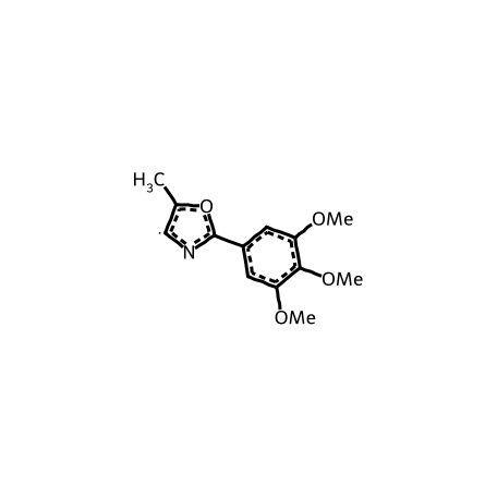 COc1cc(-c2n[c]c(C)o2)cc(OC)c1OC